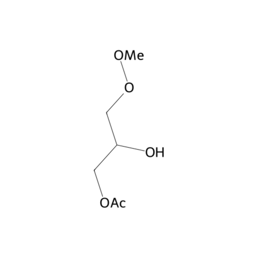 COOCC(O)COC(C)=O